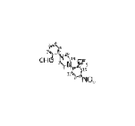 O=Cc1ccccc1N1CCN(c2ccc([N+](=O)[O-])cc2C(F)(F)F)CC1